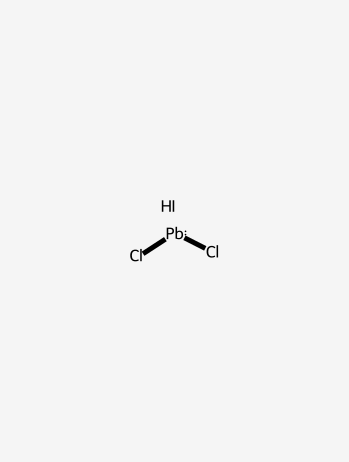 I.[Cl][Pb][Cl]